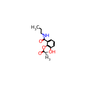 CCCNC(=O)c1cccc(O)c1OC(C)=O